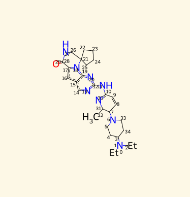 CCN(CC)C1CCN(C2C=CC(Nc3ncc4cc5n(c4n3)C3(CCCC3)CNC5=O)=NC2C)CC1